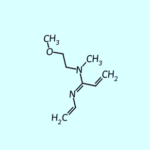 C=C/N=C(\C=C)N(C)CCOC